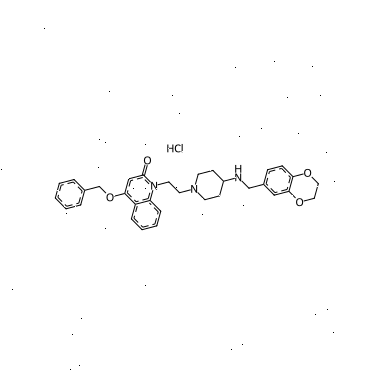 Cl.O=c1cc(OCc2ccccc2)c2ccccc2n1CCN1CCC(NCc2ccc3c(c2)OCCO3)CC1